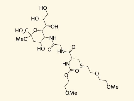 COCCOCCSC[C@H](NC(=O)OCCOC)C(=O)NCC(=O)NC1C(O)CC(OC)(C(=O)O)OC1[C@H](O)[C@H](O)CO